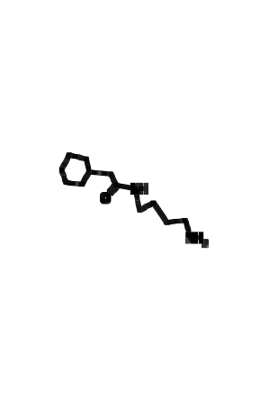 NCCCCNC(=O)CC1CCCCC1